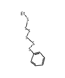 CCSSSSSSc1ccccc1